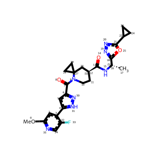 COc1cc(-c2cc(C(=O)N3CC[C@H](C(=O)N[C@@H](C)c4nnc(C5CC5)o4)CC34CC4)n[nH]2)c(F)cn1